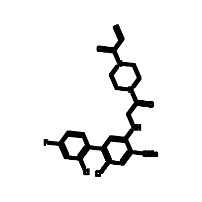 C=CC(=O)N1CCN(C(=O)CNc2cc(-c3ccc(F)cc3Cl)c(Cl)cc2OC)CC1